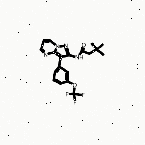 CC(C)(C)CC(=O)Nc1nn2cccnc2c1-c1cccc(OC(F)(F)F)c1